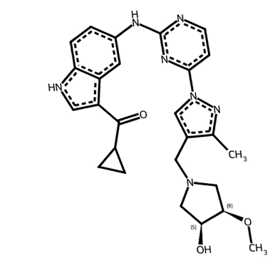 CO[C@@H]1CN(Cc2cn(-c3ccnc(Nc4ccc5[nH]cc(C(=O)C6CC6)c5c4)n3)nc2C)C[C@@H]1O